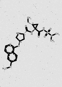 CC[C@@H]1C[C@]1(NC(=O)[C@@H]1C[C@@H](Oc2nccc3cc(OC)ccc23)CN1)C(=O)NS(=O)(=O)N(C)C